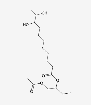 CCC(COC(C)=O)OC(=O)CCCCCCCC(O)C(C)O